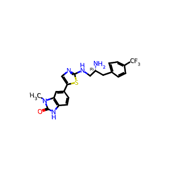 Cn1c(=O)[nH]c2ccc(-c3cnc(NC[C@H](N)Cc4ccc(C(F)(F)F)cc4)s3)cc21